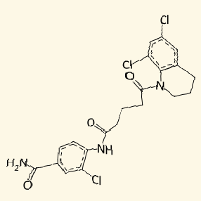 NC(=O)c1ccc(NC(=O)CCCC(=O)N2CCCc3cc(Cl)cc(Cl)c32)c(Cl)c1